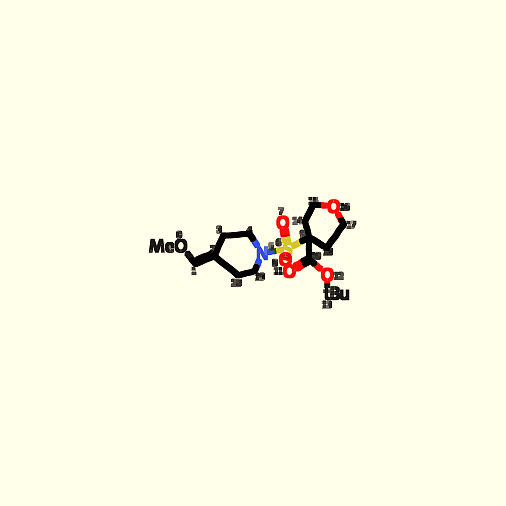 COC=C1CCN(S(=O)(=O)C2(C(=O)OC(C)(C)C)CCOCC2)CC1